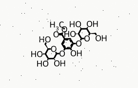 COC(=O)c1cc(OC2O[C@H](CO)[C@H](O)[C@H](O)[C@H]2O)c(O)c(OC2O[C@H](CO)[C@H](O)[C@H](O)[C@H]2O)c1